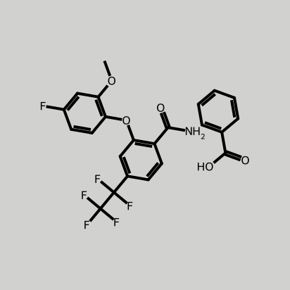 COc1cc(F)ccc1Oc1cc(C(F)(F)C(F)(F)F)ccc1C(N)=O.O=C(O)c1ccccc1